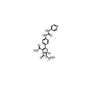 C[C@@H](O)[C@H]1C(=O)N2C(C(=O)O)=C(c3ccc(NC(=O)Nc4ccncc4)cc3)C[C@H]12